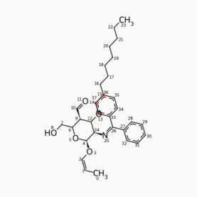 C/C=C\O[C@H]1OC(CO)[C@@H](C=O)C(OCCCCCCCCCC)[C@H]1N=C(c1ccccc1)c1ccccc1